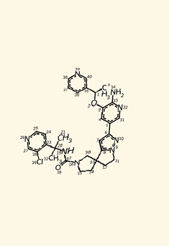 C[C@@H](Oc1cc(-c2cc3n(n2)CCC32CCN(C(=O)NC(C)(C)c3ccncc3Cl)C2)cnc1N)c1cccnc1